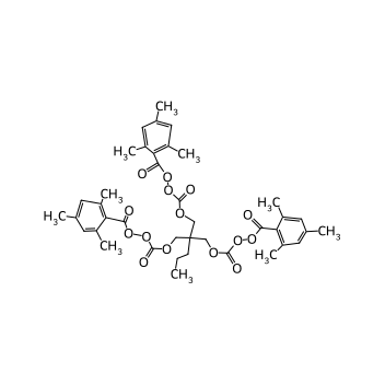 CCCC(COC(=O)OOC(=O)c1c(C)cc(C)cc1C)(COC(=O)OOC(=O)c1c(C)cc(C)cc1C)COC(=O)OOC(=O)c1c(C)cc(C)cc1C